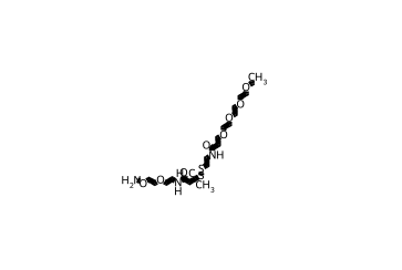 CCOCCOCCOCCOCCC(=O)NCCSSC(C)(C)CC(=O)NCCOCCON